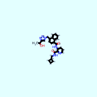 CC(O)c1cn(Cc2ccc(C(=O)Nc3cccnc3C(=O)NCC3CCC3)c3ccccc23)nn1